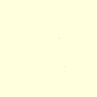 CC(=O)OC(CCCc1ccccc1)C1CCC(O)CC1